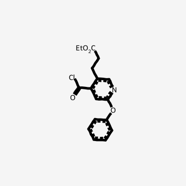 CCOC(=O)CCc1cnc(Oc2ccccc2)cc1C(=O)Cl